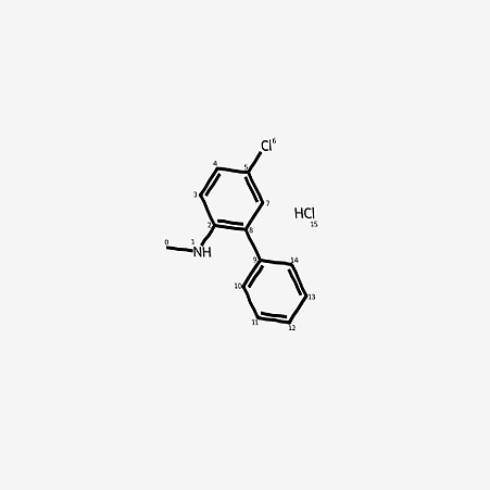 CNc1ccc(Cl)cc1-c1ccccc1.Cl